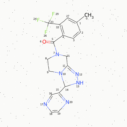 Cc1ccc(C(=O)N2CCN3C(=NNC3c3cnccn3)C2)c(C(F)(F)F)c1